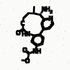 COC(=O)Nc1ccc2c(c1)NC(=O)CCCC(C)[C@H](N)c1cc-2ccn1